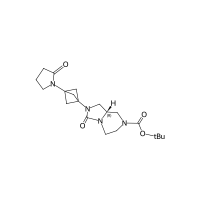 CC(C)(C)OC(=O)N1CCN2C(=O)N(C34CC(N5CCCC5=O)(C3)C4)C[C@@H]2C1